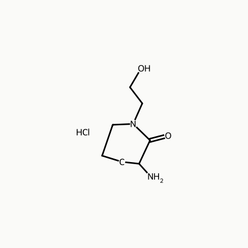 Cl.NC1CCCN(CCO)C1=O